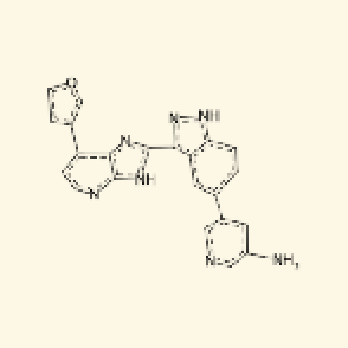 Nc1cncc(-c2ccc3[nH]nc(-c4nc5c(-c6ccoc6)ccnc5[nH]4)c3c2)c1